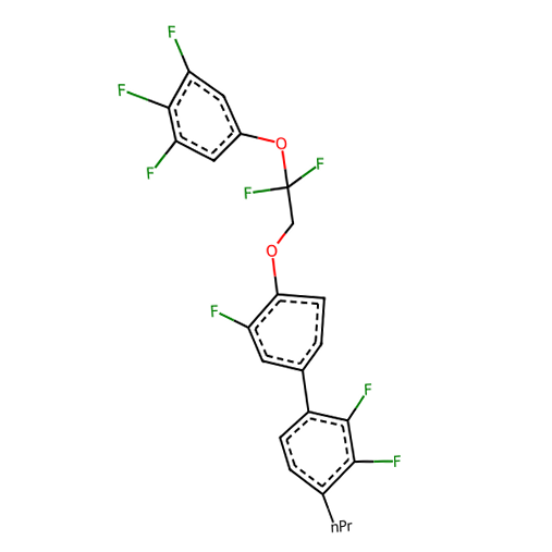 CCCc1ccc(-c2ccc(OCC(F)(F)Oc3cc(F)c(F)c(F)c3)c(F)c2)c(F)c1F